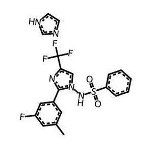 Cc1cc(F)cc(-c2nc(C(F)(F)F)cn2NS(=O)(=O)c2ccccc2)c1.c1c[nH]cn1